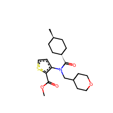 COC(=O)c1sccc1N(CC1CCOCC1)C(=O)[C@H]1CC[C@H](C)CC1